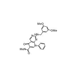 CNC(=O)c1cn(-c2ccccc2)c2nc(NCc3cc(OC)cc(OC)c3)ncc2c1=O